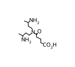 CC(N)CCN(CCC(C)N)C(=O)CCCC(=O)O